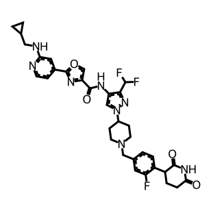 O=C1CCC(c2ccc(CN3CCC(n4cc(NC(=O)c5coc(-c6ccnc(NCC7CC7)c6)n5)c(C(F)F)n4)CC3)cc2F)C(=O)N1